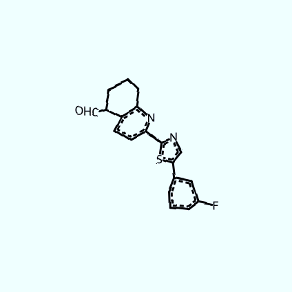 O=CC1CCCc2nc(-c3ncc(-c4cccc(F)c4)s3)ccc21